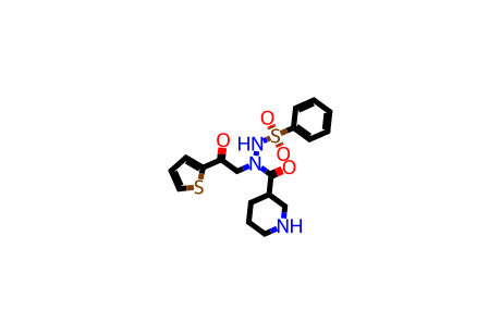 O=C(CN(NS(=O)(=O)c1ccccc1)C(=O)C1CCCNC1)c1cccs1